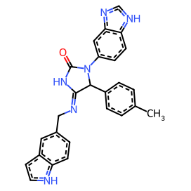 Cc1ccc(C2/C(=N/Cc3ccc4[nH]ccc4c3)NC(=O)N2c2ccc3[nH]cnc3c2)cc1